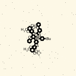 CC(C)(C)c1ccc(Nc2cc3sc4cc5c(cc4c3cc2-c2c3c4c(c6cc7c(cc6n4-c4c(sc6ccc(-c8ccccc8)cc46)B3)C(C)(C)CCC7(C)C)c3oc4ccccc4c23)C(C)(C)CCC5(C)C)cc1